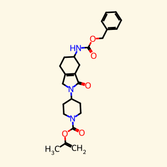 C=C(C)OC(=O)N1CCC(N2CC3=C(CC(NC(=O)OCc4ccccc4)CC3)C2=O)CC1